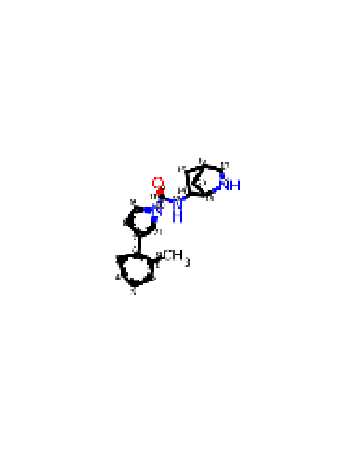 Cc1ccccc1-c1ccn(C(=O)NC2CC3CNC2C3)c1